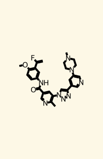 C=C(F)c1cc(NC(=O)c2cnc(C)c(-n3cc(-c4cncc(N5CCN(C)CC5)c4)nn3)c2)ccc1OC